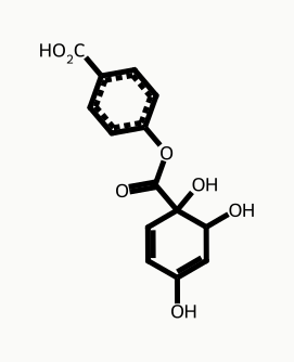 O=C(O)c1ccc(OC(=O)C2(O)C=CC(O)=CC2O)cc1